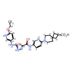 O=C(Nc1ccc(N2CCC3(CC2)CC(C(=O)O)C3)nc1)c1nnc(Nc2ccc(OCC(F)(F)F)nc2)o1